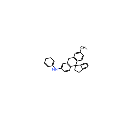 Cc1ccc2c(c1)Cc1cc(NC3=CCCC=C3)ccc1C21CCc2ccccc21